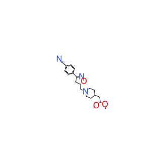 COC(=O)CC1CCN(CC2CC(c3ccc(C#N)cc3)=NO2)CC1